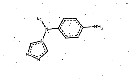 CC(=O)N(c1ccc(N)cc1)n1cnnc1